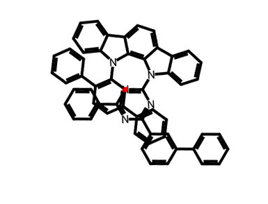 c1ccc(-c2cccc(-c3nc(-c4ccccc4)nc(-n4c5ccccc5c5ccc6c7ccccc7n(-c7cc(-c8ccccc8)ccc7-c7ccccc7)c6c54)n3)c2)cc1